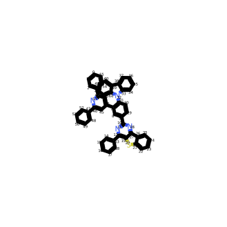 c1ccc(-c2cc(-c3cc(-c4nc(-c5ccccc5)c5sc6ccccc6c5n4)ccc3-n3c4ccccc4c4ccccc43)cc(-c3ccccc3)n2)cc1